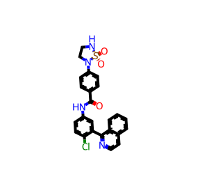 O=C(Nc1ccc(Cl)c(-c2nccc3ccccc23)c1)c1ccc(N2CCNS2(=O)=O)cc1